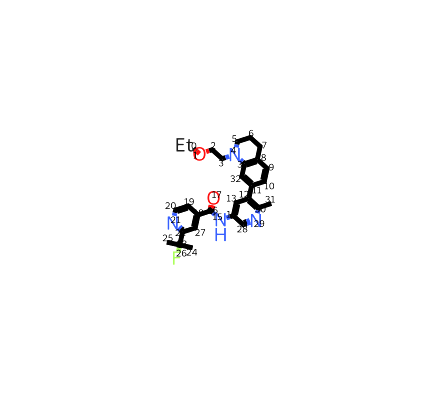 CCOCCN1CCCc2ccc(-c3cc(NC(=O)c4ccnc(C(C)(C)F)c4)cnc3C)cc21